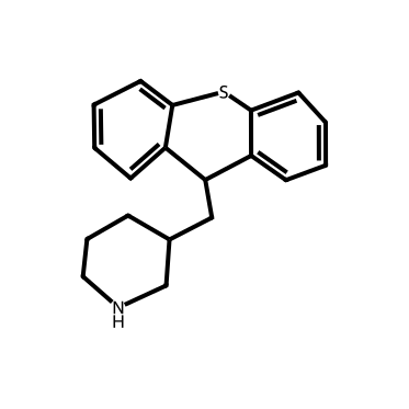 c1ccc2c(c1)Sc1ccccc1C2CC1CCCNC1